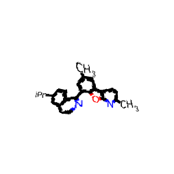 Cc1cc(-c2nccc3cc(C(C)C)ccc23)c2oc3nc(C)ccc3c2c1